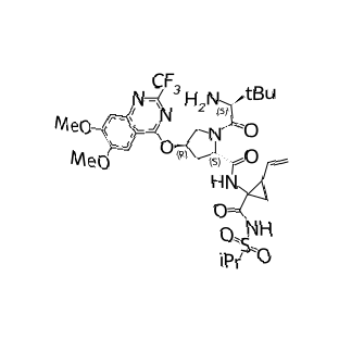 C=CC1CC1(NC(=O)[C@@H]1C[C@@H](Oc2nc(C(F)(F)F)nc3cc(OC)c(OC)cc23)CN1C(=O)[C@@H](N)C(C)(C)C)C(=O)NS(=O)(=O)C(C)C